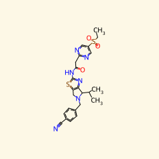 CCS(=O)(=O)c1cnc(CC(=O)Nc2nc3c(s2)CN(Cc2ccc(C#N)cc2)C3C(C)C)nc1